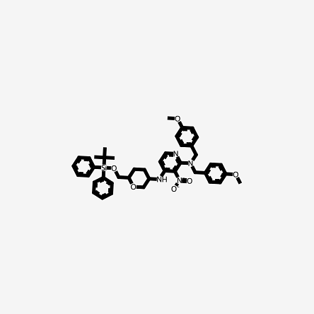 COc1ccc(CN(Cc2ccc(OC)cc2)c2nccc(NC3CCC(CO[Si](c4ccccc4)(c4ccccc4)C(C)(C)C)OC3)c2[N+](=O)[O-])cc1